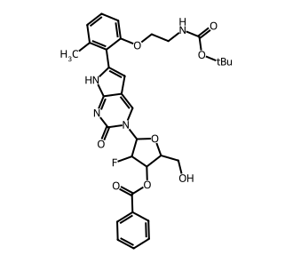 Cc1cccc(OCCNC(=O)OC(C)(C)C)c1-c1cc2cn(C3OC(CO)C(OC(=O)c4ccccc4)C3F)c(=O)nc2[nH]1